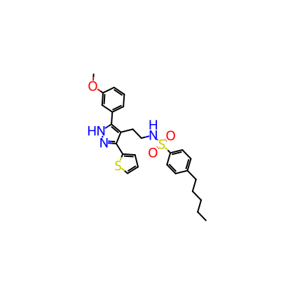 CCCCCc1ccc(S(=O)(=O)NCCc2c(-c3cccs3)n[nH]c2-c2cccc(OC)c2)cc1